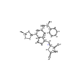 C[C@@H]1CCN(c2nc(N[C@@H](C)c3ccccc3)nc3c(/C=C4\CC(=O)NC4=O)cnn23)C1